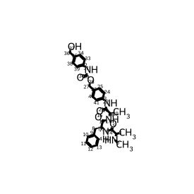 CNC(C)C(=O)N[C@@H](Cc1ccccc1)C(=O)N[C@@H](C)C(=O)Nc1ccc(COC(=O)Nc2ccc(CO)cc2)cc1